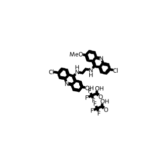 COc1ccc2nc3cc(Cl)ccc3c(NCCNc3c4ccc(Cl)cc4nc4ccc(O)cc34)c2c1.O=C(O)C(F)(F)F.O=C(O)C(F)(F)F